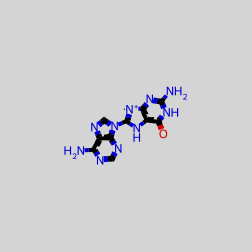 Nc1nc2c(c(=O)[nH]1)NC(n1cnc3c(N)ncnc31)=[N+]2